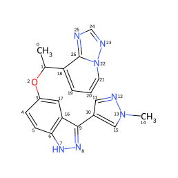 CC(Oc1ccc2[nH]nc(-c3cnn(C)c3)c2c1)c1cccn2ncnc12